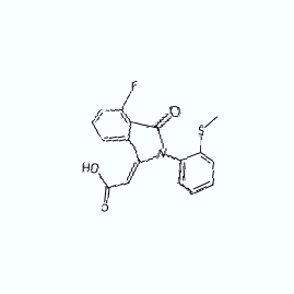 CSc1ccccc1N1C(=O)c2c(F)cccc2C1=CC(=O)O